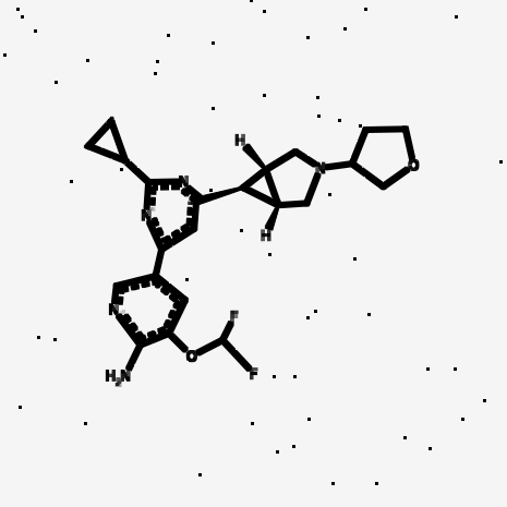 Nc1ncc(-c2cc([C@H]3[C@@H]4CN(C5CCOC5)C[C@@H]43)nc(C3CC3)n2)cc1OC(F)F